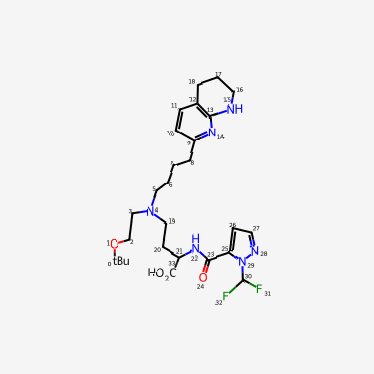 CC(C)(C)OCCN(CCCCc1ccc2c(n1)NCCC2)CCC(NC(=O)c1ccnn1C(F)F)C(=O)O